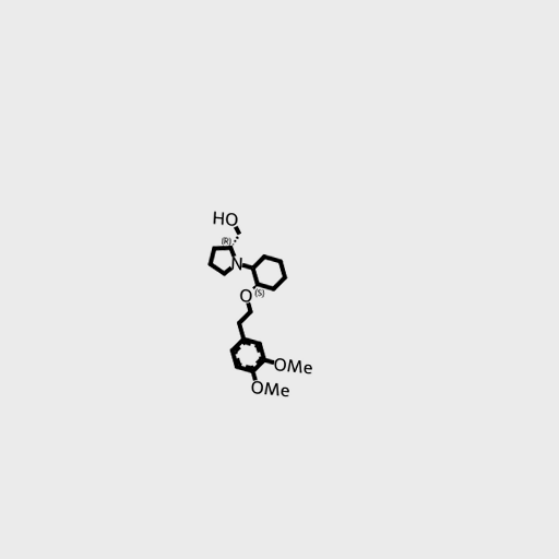 COc1ccc(CCO[C@H]2CCCCC2N2CCC[C@@H]2CO)cc1OC